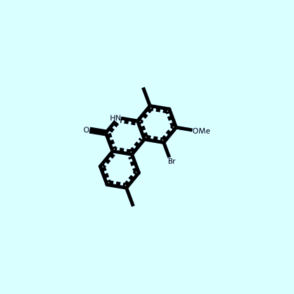 COc1cc(C)c2[nH]c(=O)c3ccc(C)cc3c2c1Br